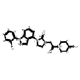 O=C(CN1CCN(c2cccc3c2cnn3-c2ccccc2F)C1=O)N1CCC(F)CC1